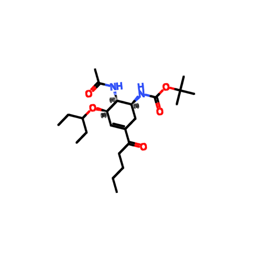 CCCCC(=O)C1=C[C@@H](OC(CC)CC)[C@H](NC(C)=O)[C@@H](NC(=O)OC(C)(C)C)C1